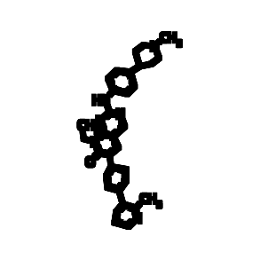 CCn1c(=O)c(-c2ccc(-c3cccnc3C)cc2)cc2cnc(Nc3ccc(C4CCN(C)CC4)cc3)nc21